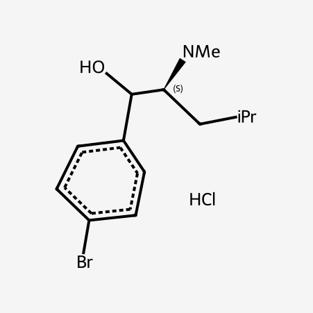 CN[C@@H](CC(C)C)C(O)c1ccc(Br)cc1.Cl